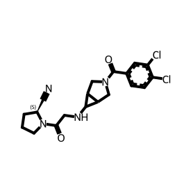 N#C[C@@H]1CCCN1C(=O)CNC1C2CN(C(=O)c3ccc(Cl)c(Cl)c3)CC21